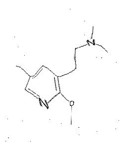 COc1ncc(C)cc1CCN(C)C